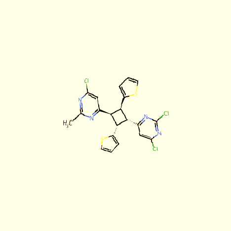 Cc1nc(Cl)cc([C@H]2[C@@H](c3cccs3)[C@H](c3cc(Cl)nc(Cl)n3)[C@@H]2c2cccs2)n1